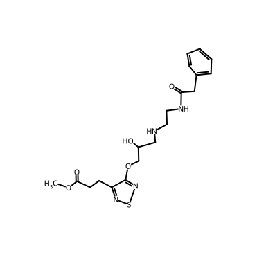 COC(=O)CCc1nsnc1OCC(O)CNCCNC(=O)Cc1ccccc1